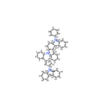 C1=C(c2ccccc2-n2c3ccccc3c3c4c5ccccc5n(-c5ccccc5)c4ccc32)CC=C1n1c2ccccc2c2ccccc21